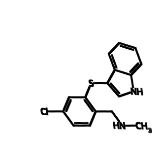 CNCc1ccc(Cl)cc1Sc1c[nH]c2ccccc12